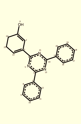 OC1=CC(c2nc(-c3ccccc3)nc(-c3ccccc3)n2)=CCC1